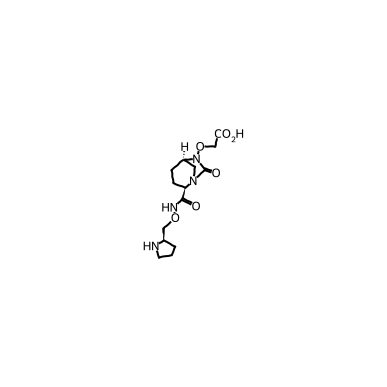 O=C(O)CON1C(=O)N2C[C@H]1CC[C@@H]2C(=O)NOC[C@H]1CCCN1